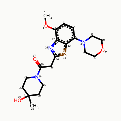 COc1ccc(N2CCOCC2)c2sc(CC(=O)N3CCC(C)(O)CC3)nc12